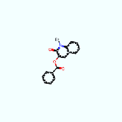 CCn1c(=O)c(OC(=O)c2ccccc2)cc2ccccc21